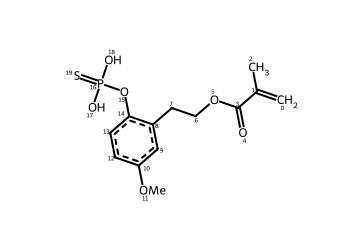 C=C(C)C(=O)OCCc1cc(OC)ccc1OP(O)(O)=S